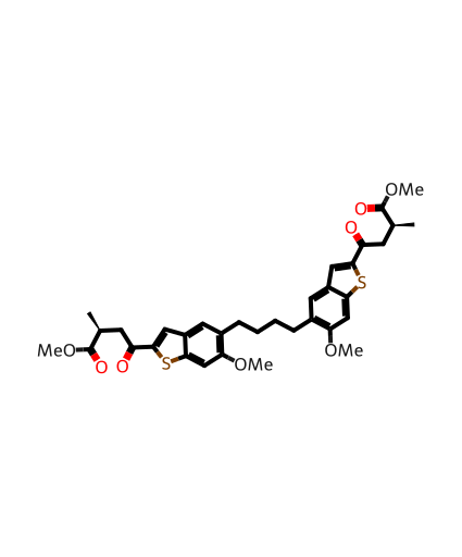 COC(=O)[C@@H](C)CC(=O)c1cc2cc(CCCCc3cc4cc(C(=O)C[C@H](C)C(=O)OC)sc4cc3OC)c(OC)cc2s1